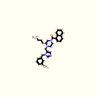 CCCC[C@H]1CN(C(=O)c2cccc3ccccc23)CCN1Cc1cncn1Cc1cccc(C)c1